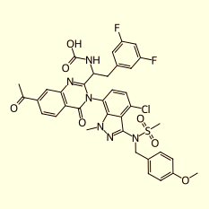 COc1ccc(CN(c2nn(C)c3c(-n4c(C(Cc5cc(F)cc(F)c5)NC(=O)O)nc5cc(C(C)=O)ccc5c4=O)ccc(Cl)c23)S(C)(=O)=O)cc1